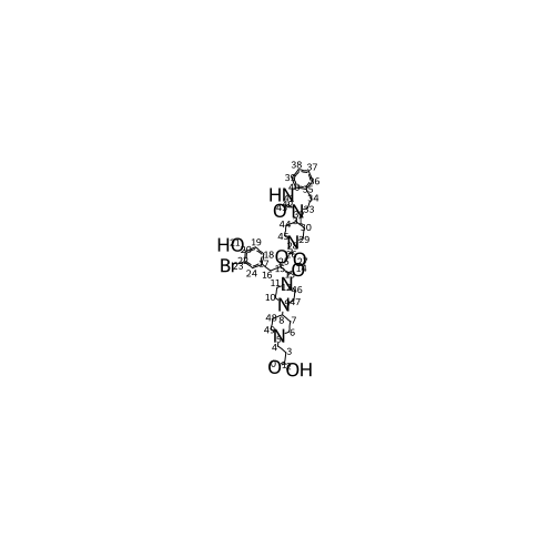 O=C(O)CCN1CCC(N2CCN(C(=O)C(Cc3ccc(O)c(Br)c3)OC(=O)N3CCC(N4CCc5ccccc5NC4=O)CC3)CC2)CC1